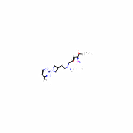 CNC(=O)c1cc(CN(CCC2CN(c3nccc(C(F)(F)F)n3)C2)C(=O)O)on1